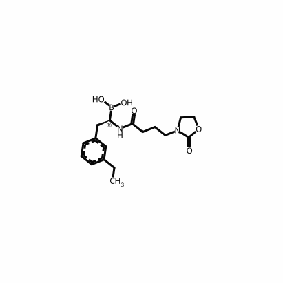 CCc1cccc(C[C@H](NC(=O)CCCN2CCOC2=O)B(O)O)c1